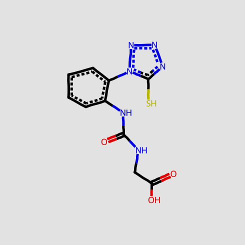 O=C(O)CNC(=O)Nc1ccccc1-n1nnnc1S